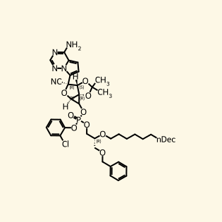 CCCCCCCCCCCCCCCCO[C@H](COCc1ccccc1)COP(=O)(Oc1ccccc1Cl)OC1[C@H]2O[C@@](C#N)(c3ccc4c(N)ncnn34)[C@@H]3OC(C)(C)O[C@]123